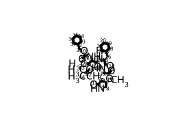 COC(=O)[C@H](C[C@@H]1CCNC1=O)NC(=O)[C@H](Cc1ccccc1)NC(=O)[C@@H](NC(=O)OCc1ccccc1)[C@@H](C)OC(C)(C)C